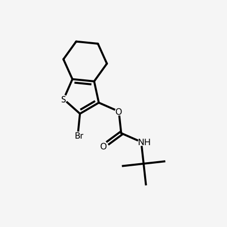 CC(C)(C)NC(=O)Oc1c(Br)sc2c1CCCC2